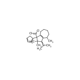 CC1CCCCC2=C1C(=[Si](C)C)C(C)(C)[C]2(C1=CC=CC1)[Hf]([Cl])[Cl]